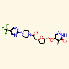 Cc1c(OC[C@@H]2CC[C@H](CC(=O)N3CCN(c4ncc(C(F)(F)F)cn4)CC3)O2)cn[nH]c1=O